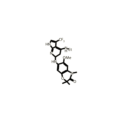 CCNC1=c2c(C(F)(F)F)c[nH]c2=NC(Nc2cc3c(cc2OC)N(C)C(=O)C(C)(C)O3)C1